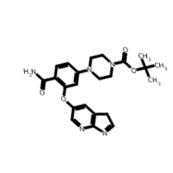 CC(C)(C)OC(=O)N1CCN(c2ccc(C(N)=O)c(Oc3cnc4c(c3)CC=N4)c2)CC1